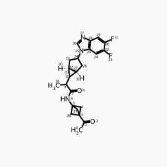 CC(=O)C12CC(NC(=O)C(C)C3[C@H]4CC(n5cnc6cc(F)c(F)cc65)C[C@@H]34)(C1)C2